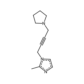 Cc1nccn1CC#CCN1CCCC1